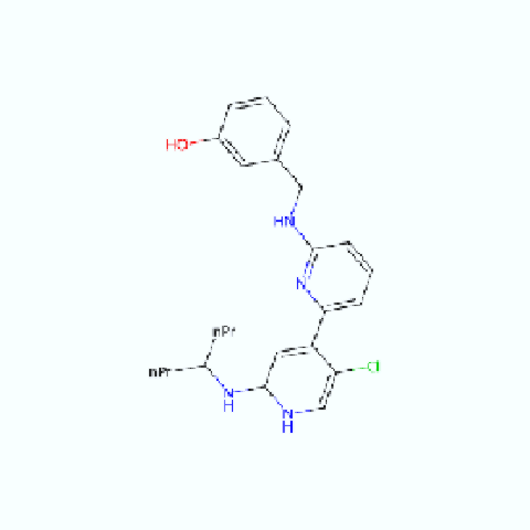 CCCC(CCC)NC1C=C(c2cccc(NCc3cccc(O)c3)n2)C(Cl)=CN1